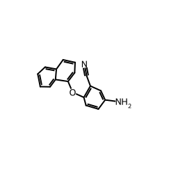 N#Cc1cc(N)ccc1Oc1cccc2ccccc12